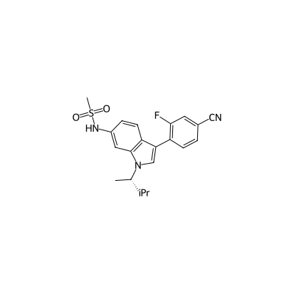 CC(C)[C@H](C)n1cc(-c2ccc(C#N)cc2F)c2ccc(NS(C)(=O)=O)cc21